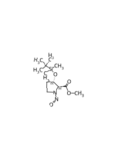 COC(=O)[C@@H]1[C@@H](O[Si](C)(C)C(C)(C)C)CCN1N=O